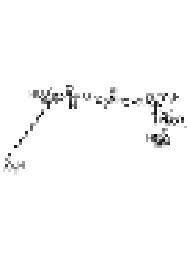 CCCCNC(=O)CC[C@H](NC(=O)CC[C@H](NC(=O)COCCOCCNC(=O)COCCOCCNC(=O)CC[C@H](NC(=O)CCCCCCCCCCCCCCCCC(=O)O)C(=O)O)C(=O)O)C(=O)O